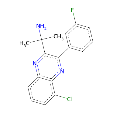 CC(C)(N)c1nc2cccc(Cl)c2nc1-c1cccc(F)c1